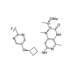 CO[C@H](C)[C@H]1C(=O)Nc2c(cc(N[C@H]3C[C@H](Oc4cnc(C(F)(F)F)nc4)C3)nc2C)N1C